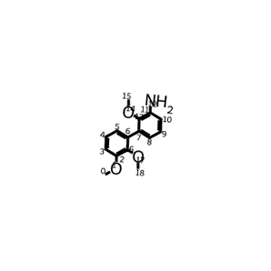 COc1cccc(-c2cccc(N)c2OC)c1OC